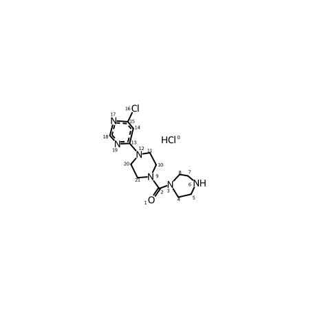 Cl.O=C(N1CCNCC1)N1CCN(c2cc(Cl)ncn2)CC1